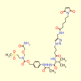 CC(NC(=O)[C@@H](NC(=O)CCCn1cc(CNC(=O)CCCCCN2C(=O)C=CC2=O)nn1)C(C)C)C(=O)Nc1ccc(COC(=O)N(CCS(C)(=O)=O)COCC(N)=O)cc1